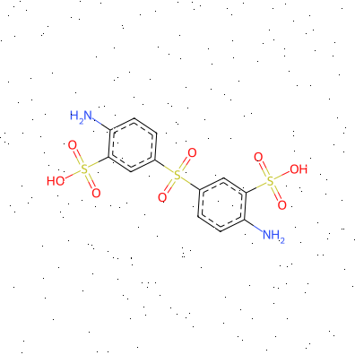 Nc1ccc(S(=O)(=O)c2ccc(N)c(S(=O)(=O)O)c2)cc1S(=O)(=O)O